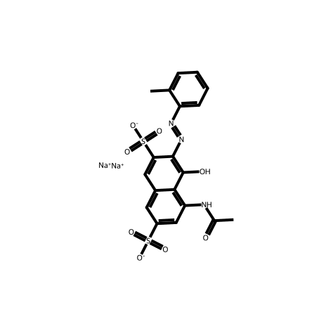 CC(=O)Nc1cc(S(=O)(=O)[O-])cc2cc(S(=O)(=O)[O-])c(/N=N/c3ccccc3C)c(O)c12.[Na+].[Na+]